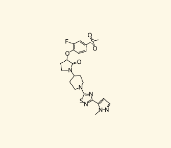 Cn1nccc1-c1nsc(N2CCC(N3CCC(Oc4ccc(S(C)(=O)=O)cc4F)C3=O)CC2)n1